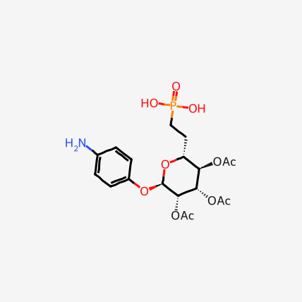 CC(=O)O[C@@H]1[C@H](OC(C)=O)[C@@H](Oc2ccc(N)cc2)O[C@H](CCP(=O)(O)O)[C@H]1OC(C)=O